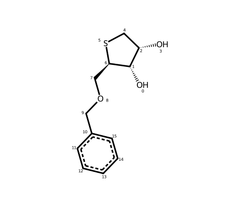 O[C@H]1[C@@H](O)CS[C@@H]1COCc1ccccc1